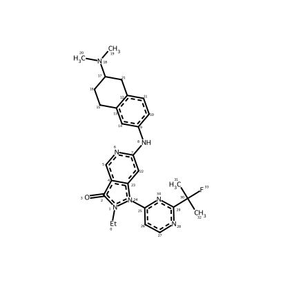 CCn1c(=O)c2cnc(Nc3ccc4c(c3)CCC(N(C)C)C4)cc2n1-c1ccnc(C(C)(C)F)n1